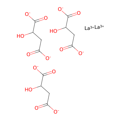 O=C([O-])CC(O)C(=O)[O-].O=C([O-])CC(O)C(=O)[O-].O=C([O-])CC(O)C(=O)[O-].[La+3].[La+3]